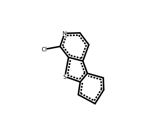 Clc1nccc2c1sc1ccccc12